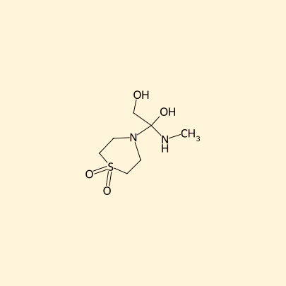 CNC(O)(CO)N1CCS(=O)(=O)CC1